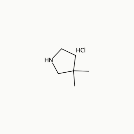 CC1(C)CCNC1.Cl